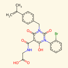 C=C(C)c1ccc(Cn2c(=O)c(C(=O)NCC(=O)O)c(O)n(-c3ccccc3Br)c2=O)cc1